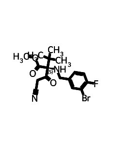 COC(=O)[C@@](NCc1ccc(F)c(Br)c1)(C(=O)CC#N)C(C)(C)C